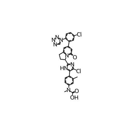 Cc1cc(N(C)C(=O)O)ccc1-c1[nH]c(C2CCc3cc(-c4cc(Cl)ccc4-n4cnnn4)cc(=O)n32)nc1Cl